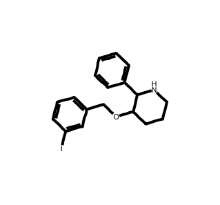 Ic1cccc(COC2CCCNC2c2ccccc2)c1